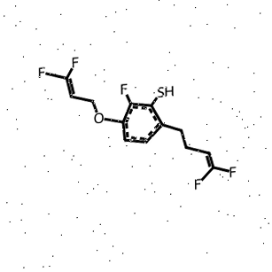 FC(F)=CCCc1ccc(OCC=C(F)F)c(F)c1S